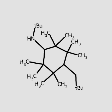 CC(C)(C)CC1C(C)(C)C(C)(C)C(NC(C)(C)C)C(C)(C)C1(C)C